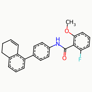 COc1cccc(F)c1C(=O)Nc1ccc(-c2cccc3c2C=CCC3)cc1